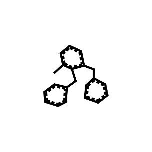 Cc1[c]ccc(Cc2ccccc2)c1Cc1ccccc1